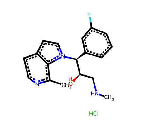 CNC[C@@H](O)[C@H](c1cccc(F)c1)n1ccc2ccnc(C)c21.Cl